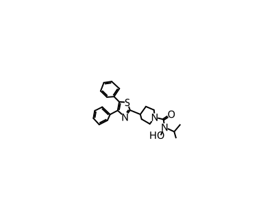 CC(C)N(O)C(=O)N1CCC(c2nc(-c3ccccc3)c(-c3ccccc3)s2)CC1